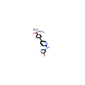 CN(C)C(=O)c1ccc(-c2ccc(Nc3cncc(Br)c3)nc2)cc1